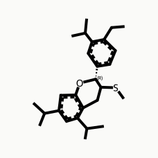 CCc1ccc([C@H]2Oc3cc(C(C)C)cc(C(C)C)c3CC2SC)cc1C(C)C